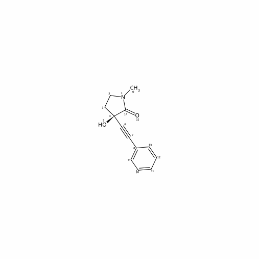 CN1CC[C@@](O)(C#Cc2c[c]ccc2)C1=O